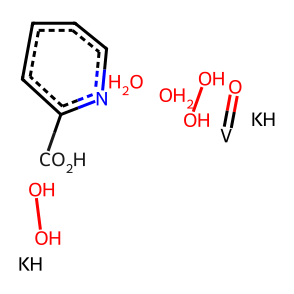 O.O.O=C(O)c1ccccn1.OO.OO.[KH].[KH].[O]=[V]